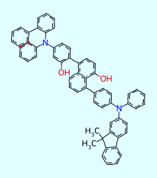 CC1(C)c2ccccc2-c2ccc(N(c3ccccc3)c3ccc(-c4cccc5c(-c6ccc(N(c7ccccc7)c7ccccc7-c7ccccc7)cc6O)ccc(O)c45)cc3)cc21